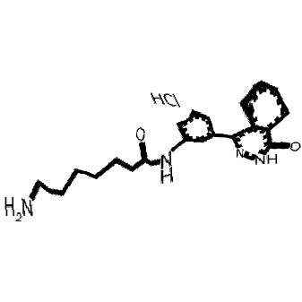 Cl.NCCCCCCC(=O)Nc1cccc(-c2n[nH]c(=O)c3ccccc23)c1